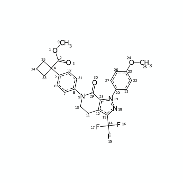 COC(=O)C1(c2ccc(N3CCc4c(C(F)(F)F)nn(-c5ccc(OC)cc5)c4C3=O)cc2)CCC1